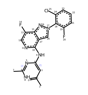 C=C(C)/C=C(\N=C(\C)N)Nc1ncc(F)c2nn(-c3c(F)cccc3Cl)cc12